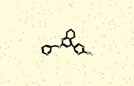 Cc1ncc(-c2cc(OCc3cccnc3)nc3c2CCCC3)cn1